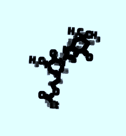 CCC(=O)OCCN1CN(C)C(=O)N(c2nc3c(s2)C(=O)CC(C)(C)C3)C1